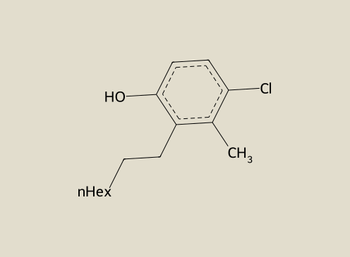 CCCCCCCCc1c(O)ccc(Cl)c1C